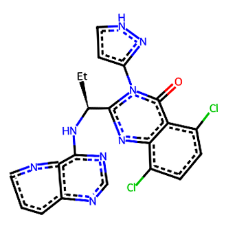 CC[C@H](Nc1ncnc2cccnc12)c1nc2c(Cl)ccc(Cl)c2c(=O)n1-c1cc[nH]n1